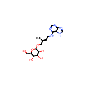 C/C(=C\CNc1ncnc2nc[nH]c12)CO[C@@H]1O[C@H](CO)[C@@H](O)[C@H](O)[C@H]1O